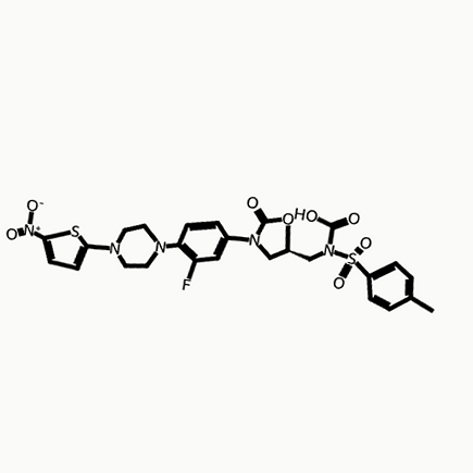 Cc1ccc(S(=O)(=O)N(C[C@H]2CN(c3ccc(N4CCN(c5ccc([N+](=O)[O-])s5)CC4)c(F)c3)C(=O)O2)C(=O)O)cc1